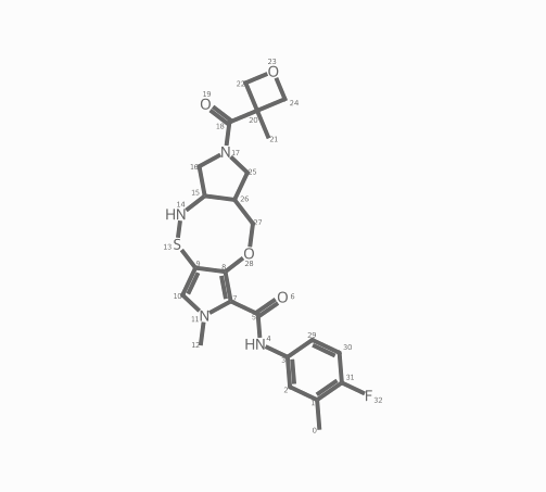 Cc1cc(NC(=O)c2c3c(cn2C)SNC2CN(C(=O)C4(C)COC4)CC2CO3)ccc1F